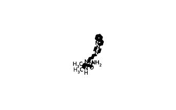 Cc1[nH]c2c(=O)n(N)c(CCCCN3CCN(c4ccc5ccccc5n4)CC3)nc2c1C